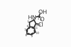 O=C(O)NC1Cc2ccccc2C1Cl